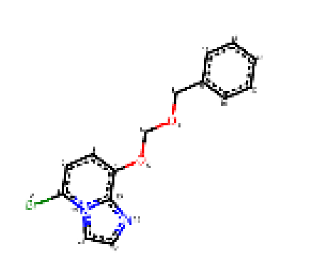 Brc1ccc(OCOCc2ccccc2)c2nccn12